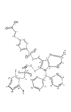 O=C(O)CCc1ccc(S(=O)(=O)CCc2c(CCNS(=O)(=O)Cc3c(F)cccc3F)n(C(c3ccccc3)c3ccccc3)c3ccc(Cl)cc23)cc1